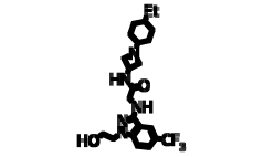 CCC1CCC(N2CC(NC(=O)CNc3nn(CCO)c4ccc(C(F)(F)F)cc34)C2)CC1